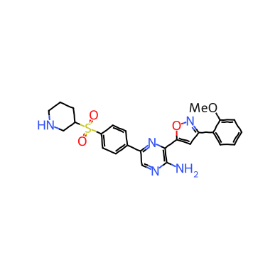 COc1ccccc1-c1cc(-c2nc(-c3ccc(S(=O)(=O)C4CCCNC4)cc3)cnc2N)on1